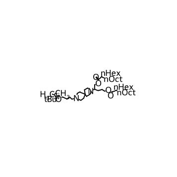 CCCCCCCCC(CCCCCC)C(=O)OCCCC(COC(=O)C(CCCCCC)CCCCCCCC)N1CCC2(CCN(CCCCO[Si](C)(C)C(C)(C)C)CC2)CC1